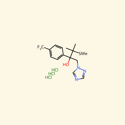 CSC(C)(C)C(O)(Cn1cncn1)c1ccc(C(F)(F)F)cc1.Cl.Cl.Cl